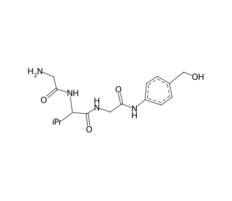 CC(C)C(NC(=O)CN)C(=O)NCC(=O)Nc1ccc(CO)cc1